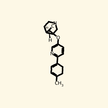 CC1=CC=C(c2ccc(O[C@H]3CN4CCC3CC4)cn2)CC1